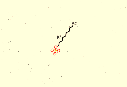 CC(=O)CCCCCCCCCOS(=O)(=O)[O-].[K+]